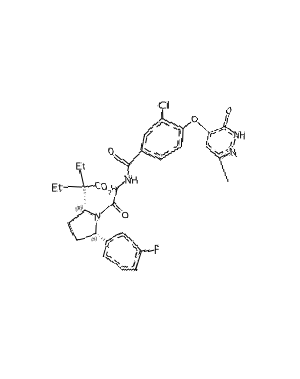 CCC(CC)(C(=O)O)[C@H]1CC[C@@H](c2cccc(F)c2)N1C(=O)CNC(=O)c1ccc(Oc2cc(C)n[nH]c2=O)c(Cl)c1